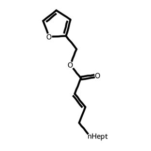 CCCCCCCCC=CC(=O)OCc1ccco1